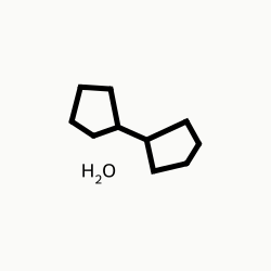 C1CCC(C2CCCC2)C1.O